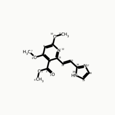 COC(=O)c1c(OC)cc(OC)nc1C=Cc1ncc[nH]1